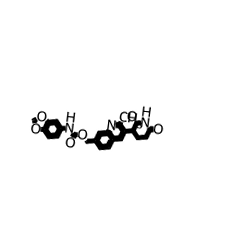 Cc1nc2cc(COC(=O)Nc3ccc4c(c3)OCO4)ccc2cc1C1CCC(=O)NC1=O